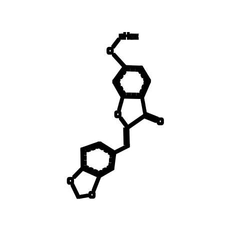 CCCCCCOc1ccc2c(c1)OC(=Cc1ccc3c(c1)OCO3)C2=O